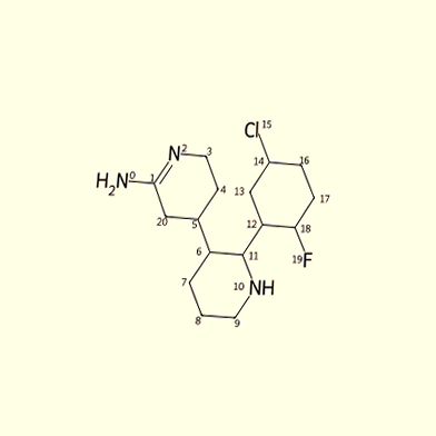 NC1=NCCC(C2CCCNC2C2CC(Cl)CCC2F)C1